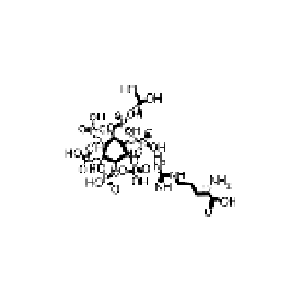 N=C(N)NCCC[C@H](N)C(=O)O.O=C(O)O.O=P(O)(O)O[C@H]1[C@H](OP(=O)(O)O)[C@@H](OP(=O)(O)O)[C@H](OP(=O)(O)O)[C@@H](OP(=O)(O)O)[C@H]1OP(=O)(O)O